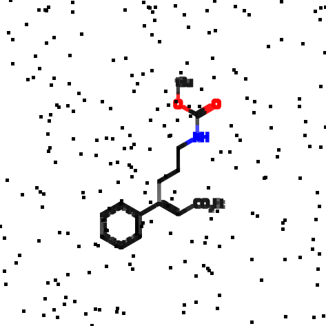 CCOC(=O)C=C(CCCNC(=O)OC(C)(C)C)c1ccccc1